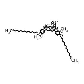 CCCCCCCCCCCCCCOc1ccc(C(CC(=O)CC(c2ccc(OCCCCCCCCCCCCCC)c(OC)c2)S(=O)(=O)[O-])S(=O)(=O)[O-])cc1OC.[Na+].[Na+]